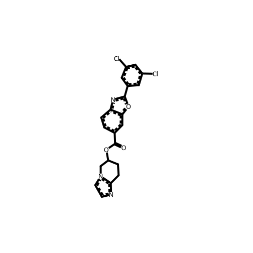 O=C(OC1CCc2nccn2C1)c1ccc2nc(-c3cc(Cl)cc(Cl)c3)oc2c1